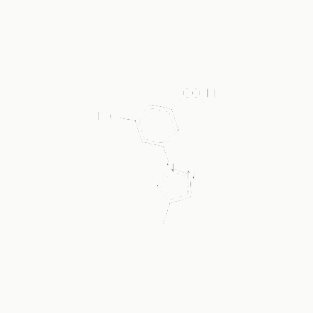 Cc1cnn(-c2cc(C(=O)O)cc(C(F)(F)F)c2)c1